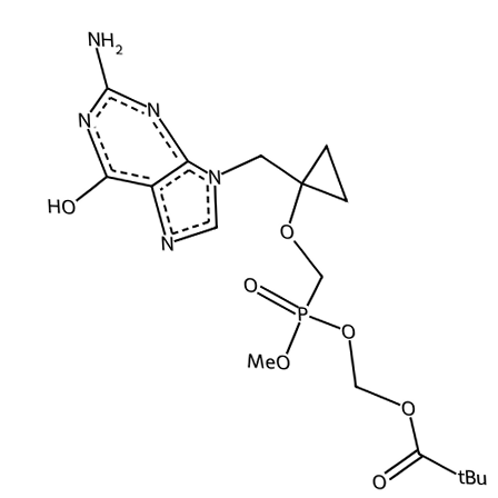 [CH2]OP(=O)(COC1(Cn2cnc3c(O)nc(N)nc32)CC1)OCOC(=O)C(C)(C)C